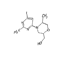 Cc1nc(I)cc(N2CC(CO)OCC2C)n1